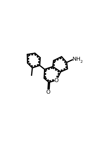 Cc1ccccc1-c1cc(=O)oc2cc(N)ccc12